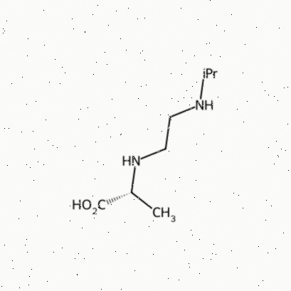 CC(C)NCCN[C@H](C)C(=O)O